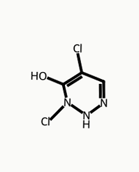 OC1=C(Cl)C=NNN1Cl